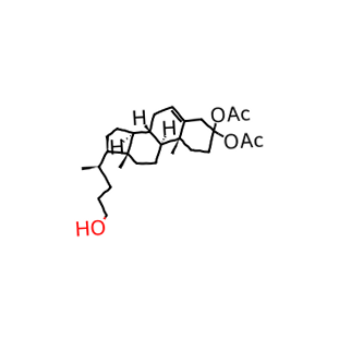 CC(=O)OC1(OC(C)=O)CC[C@@]2(C)C(=CC[C@H]3[C@@H]4CC[C@H]([C@H](C)CCCO)[C@@]4(C)CC[C@@H]32)C1